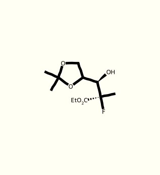 CCOC(=O)[C@](C)(F)[C@H](O)C1COC(C)(C)O1